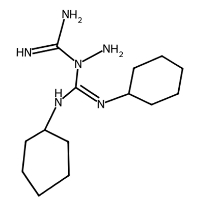 N=C(N)N(N)C(=NC1CCCCC1)NC1CCCCC1